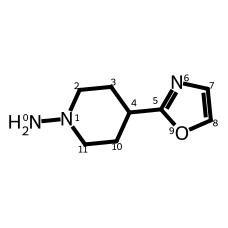 NN1CCC(c2ncco2)CC1